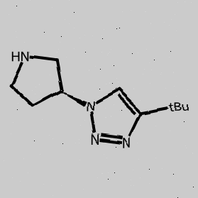 CC(C)(C)c1cn([C@H]2CCNC2)nn1